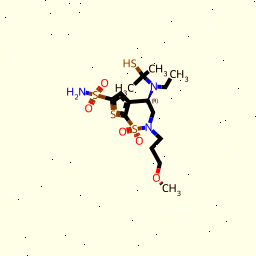 CCN([C@H]1CN(CCCOC)S(=O)(=O)c2sc(S(N)(=O)=O)cc21)C(C)(C)S